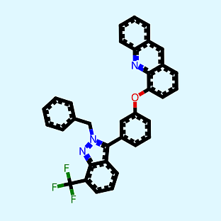 FC(F)(F)c1cccc2c(-c3cccc(Oc4cccc5cc6ccccc6nc45)c3)n(Cc3ccccc3)nc12